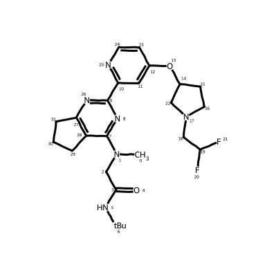 CN(CC(=O)NC(C)(C)C)c1nc(-c2cc(OC3CCN(CC(F)F)C3)ccn2)nc2c1CCC2